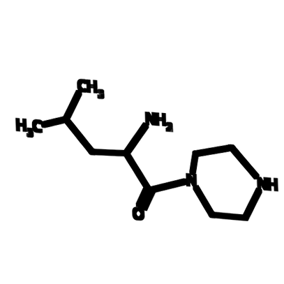 CC(C)CC(N)C(=O)N1CCNCC1